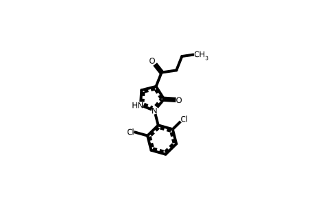 CCCC(=O)c1c[nH]n(-c2c(Cl)cccc2Cl)c1=O